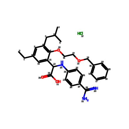 CCc1cc(CC(C)C)c(OCCOCc2ccccc2)c(C(Nc2ccc(C(=N)N)cc2)C(=O)O)c1.Cl